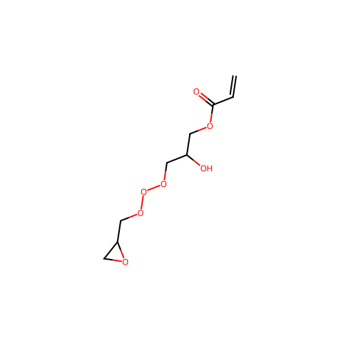 C=CC(=O)OCC(O)COOOCC1CO1